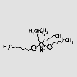 CCCCCCCCc1ccc(C2=C(CCCC)C(CCCCCC)=C(c3cccc(CCCCCC)c3)[N+]2=[N-])cc1.[CH3][Ni][CH3]